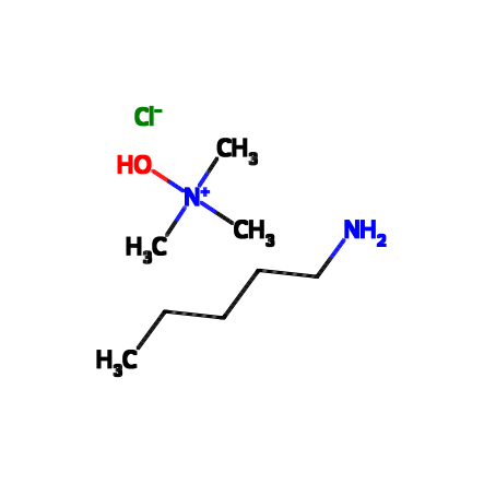 CCCCCN.C[N+](C)(C)O.[Cl-]